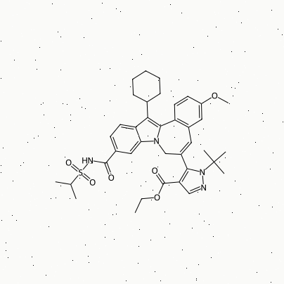 CCOC(=O)c1cnn(C(C)(C)C)c1C1=Cc2cc(OC)ccc2-c2c(C3CCCCC3)c3ccc(C(=O)NS(=O)(=O)C(C)C)cc3n2C1